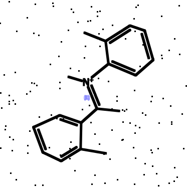 C/C(c1ccccc1C)=[N+](/C)c1ccccc1C